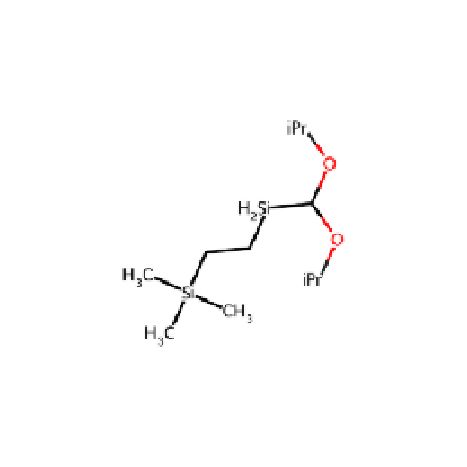 CC(C)OC(OC(C)C)[SiH2]CC[Si](C)(C)C